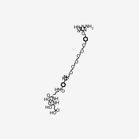 Nc1nc(OCc2ccc(COCCOCCOCCOCCOCCOCCn3cc(-c4ccc(C(=O)NCCCC[C@H](NC(=O)N[C@@H](CCC(=O)O)C(=O)O)C(=O)O)cc4)nn3)cc2)c2nc[nH]c2n1